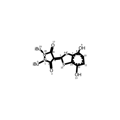 CCC(C)N1C(=O)C(=C2Sc3c(O)ccc(O)c3S2)C(=O)N1C(C)CC